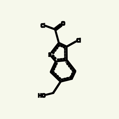 O=C(Cl)c1sc2cc(CO)ccc2c1Cl